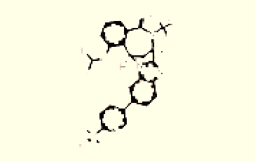 [2H]C([2H])([2H])N1C(=O)c2cccc(OC(F)F)c2[C@H]2C[C@@H]1c1nc3ccc(-c4ccc(P(=O)(CC)CC)nc4)cc3n12